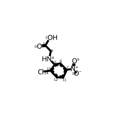 O=C(O)CNc1cc([N+](=O)[O-])ccc1Cl